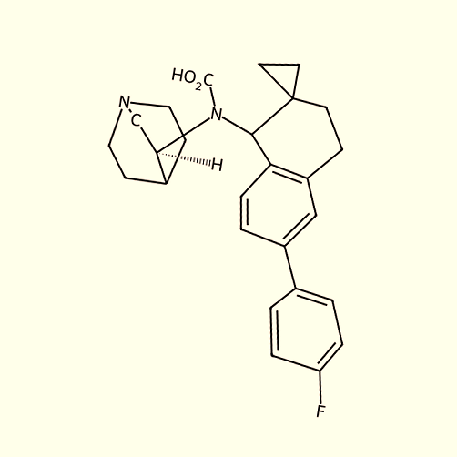 O=C(O)N(C1c2ccc(-c3ccc(F)cc3)cc2CCC12CC2)[C@@H]1CN2CCC1CC2